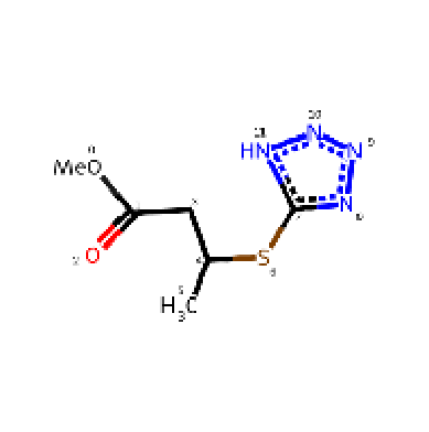 COC(=O)C[C](C)Sc1nnn[nH]1